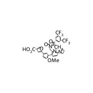 COc1ccc(-c2cc(C(=O)O)co2)cc1-c1ccc(N2CCC2)nc1CN1C(=O)O[C@H](c2cc(C(F)(F)F)cc(C(F)(F)F)c2)[C@@H]1C